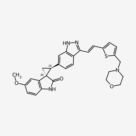 COc1ccc2c(c1)[C@]1(C[C@H]1c1ccc3c(C=Cc4ccc(CN5CCOCC5)s4)n[nH]c3c1)C(=O)N2